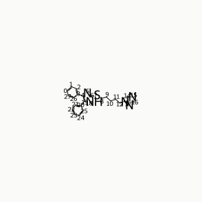 c1ccc(-c2nc(SCCCCCn3cncn3)[nH]c2-c2ccccc2)cc1